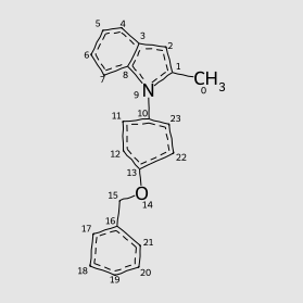 Cc1cc2ccccc2n1-c1ccc(OCc2ccccc2)cc1